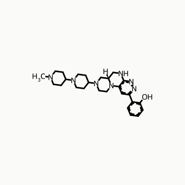 CN1CCC(N2CCC(N3CCN4c5cc(-c6ccccc6O)nnc5NC[C@H]4C3)CC2)CC1